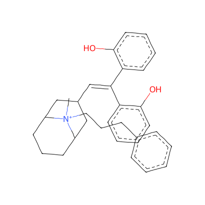 C[N+]1(CCCc2ccccc2)C2CCCC1CC(C=C(c1ccccc1O)c1ccccc1O)C2